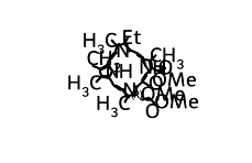 C=Cc1c(C)c2cc3nc(c(C(=O)OC)c4[nH]c(cc5nc(cc1[nH]2)C(C)C5CC)c(C)c4C(=O)OC)[C@H](CCC(=O)OC)C3C